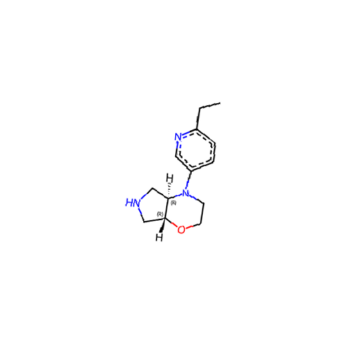 CCc1ccc(N2CCO[C@@H]3CNC[C@H]32)cn1